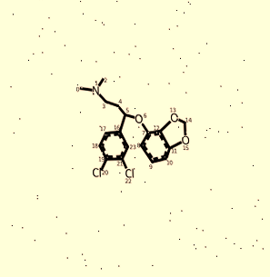 CN(C)CCC(Oc1cccc2c1OCO2)c1ccc(Cl)c(Cl)c1